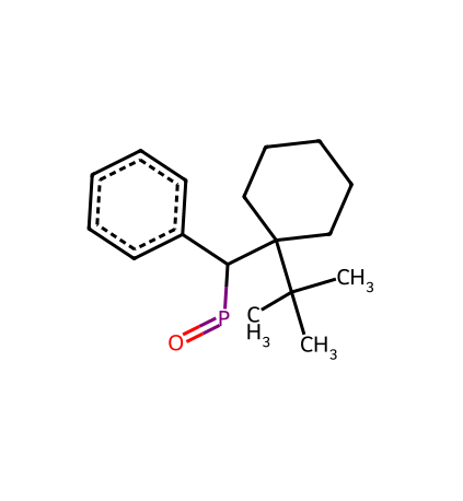 CC(C)(C)C1(C(P=O)c2ccccc2)CCCCC1